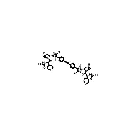 O=C(O)N[C@@H](C(=O)N1C2C[C@@H]2C[C@H]1c1nc(Cl)c(-c2ccc(C#Cc3ccc(-c4[nH]c([C@@H]5C[C@H]6CC6N5C(=O)[C@H](NC(=O)O)C5CCOCC5)nc4Cl)cc3)cc2)[nH]1)C1CCOCC1